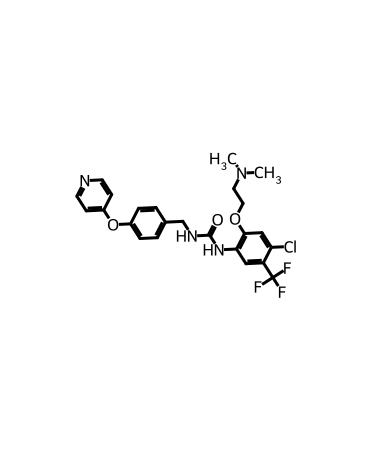 CN(C)CCOc1cc(Cl)c(C(F)(F)F)cc1NC(=O)NCc1ccc(Oc2ccncc2)cc1